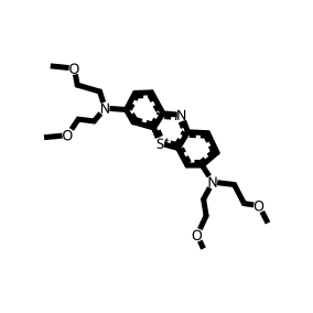 COCCN(CCOC)c1ccc2nc3ccc(N(CCOC)CCOC)cc3[s+]c2c1